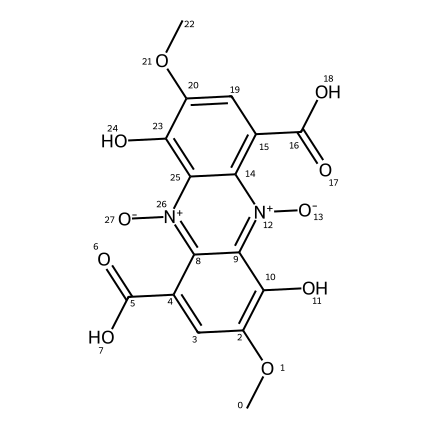 COc1cc(C(=O)O)c2c(c1O)[n+]([O-])c1c(C(=O)O)cc(OC)c(O)c1[n+]2[O-]